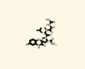 CC(C)C[C@@H](C(=O)N1C[C@@]2(C[C@H]1C(N)=O)Oc1ccc(F)cc1NC2=O)N(C)C(=O)[C@H](C)NC(=O)O